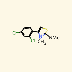 CNc1scc(-c2ccc(Cl)cc2Cl)[n+]1C